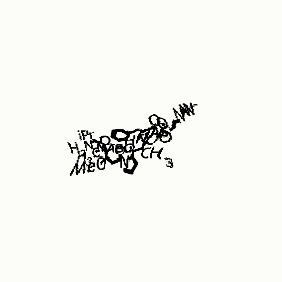 CC[C@H](C)C([C@@H](CC(=O)N1CCCC1[C@H](OC)[C@@H](C)C(=O)N[C@@H](Cc1ccccc1)C(=O)NS(=O)(=O)CCCN=[N+]=[N-])OC)N(C)C(=O)C(N)C(C)C